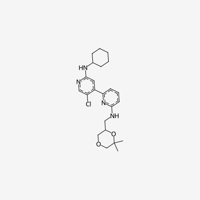 CC1(C)COCC(CNc2cccc(-c3cc(NC4CCCCC4)ncc3Cl)n2)O1